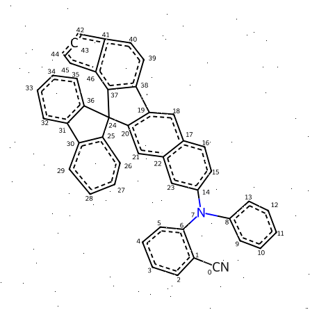 N#Cc1ccccc1N(c1ccccc1)c1ccc2cc3c(cc2c1)C1(c2ccccc2-c2ccccc21)c1c-3ccc2ccccc12